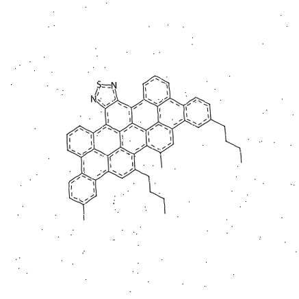 CCCCc1ccc2c(c1)c1cc(C)c3c4c(CCCC)cc5c6cc(C)ccc6c6cccc7c6c5c4c4c7c5nsnc5c5c6cccc2c6c1c3c54